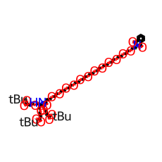 CC(C)(C)OC(=O)CCOCC(COCCC(=O)OC(C)(C)C)(COCCC(=O)OC(C)(C)C)NC(=O)CCOCCOCCOCCOCCOCCOCCOCCOCCOCCOCCOCCOCCN1C(=O)c2ccccc2C1=O